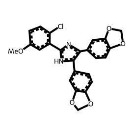 COc1ccc(Cl)c(-c2nc(-c3ccc4c(c3)OCO4)c(-c3ccc4c(c3)OCO4)[nH]2)c1